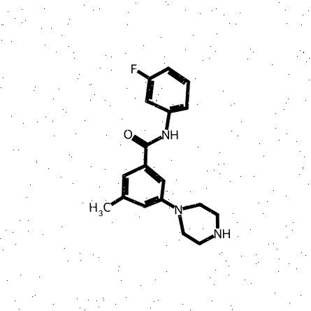 Cc1cc(C(=O)Nc2cccc(F)c2)cc(N2CCNCC2)c1